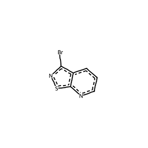 Brc1nsc2ncccc12